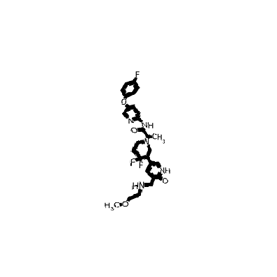 COCCNCc1cc(C2CN(C(C)C(=O)Nc3ccc(Oc4ccc(F)cc4)cn3)CCC2(F)F)c[nH]c1=O